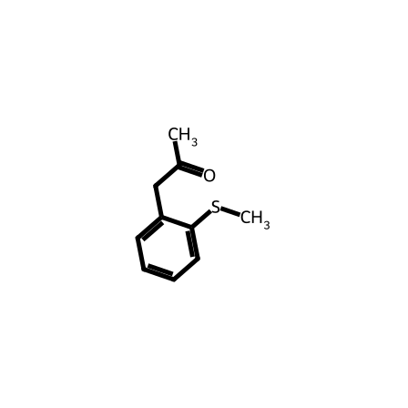 CSc1ccccc1CC(C)=O